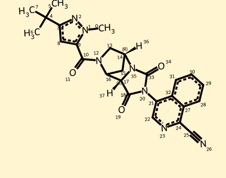 Cn1nc(C(C)(C)C)cc1C(=O)N1C[C@H]2CC1[C@H]1C(=O)N(c3cnc(C#N)c4ccccc34)C(=O)N21